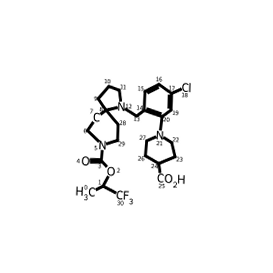 CC(OC(=O)N1CCC2(CCCN2Cc2ccc(Cl)cc2N2CCC(C(=O)O)CC2)CC1)C(F)(F)F